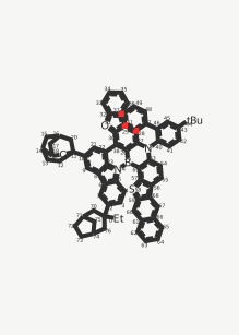 CCC1(c2ccc3c(c2)c2cc(C45CCC6CC(CC6C4)C5)cc4c2n3B2c3c(cc5c(oc6ccccc65)c3-4)N(c3ccc(C(C)(C)C)cc3-c3ccccc3)c3ccc4c(sc5cc6ccccc6cc54)c32)CC2CCC(C2)C1